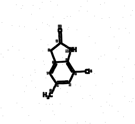 Cc1cc(Cl)c2c(c1)CC(=O)N2